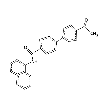 CC(=O)c1ccc(-c2ccc(C(=O)Nc3cccc4ccccc34)cc2)cc1